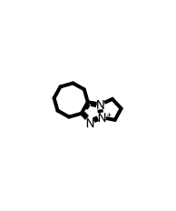 C1CCCc2c(n[n+]3n2CCC3)CC1